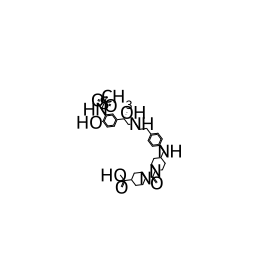 CS(=O)(=O)Nc1cc([C@H](O)CNCCc2ccc(NC3CCN(C(=O)N4CCC(C(=O)O)CC4)CC3)cc2)ccc1O